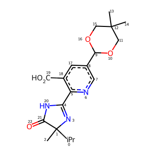 CC(C)C1(C)N=C(c2ncc(C3OCC(C)(C)CO3)cc2C(=O)O)NC1=O